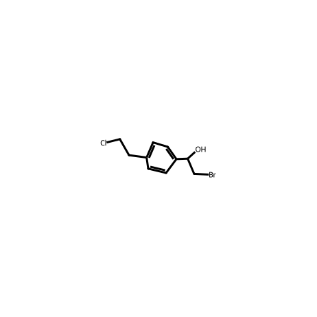 OC(CBr)c1ccc(CCCl)cc1